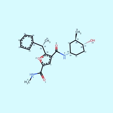 CNC(=O)c1cc(C(=O)N[C@H]2CC[C@@H](O)[C@H](C)C2)c([C@@H](C)c2ccccc2)o1